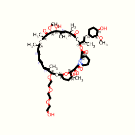 CO[C@@H]1C[C@H](C[C@@H](C)[C@@H]2CC(=O)[C@H](C)/C=C(\C)[C@@H](O)[C@@H](OC)C(=O)[C@H](C)C[C@H](C)/C=C/C=C/C=C(\C)[C@H](OCCOCCOCCO)C[C@@H]3CC[C@@H](C)[C@@](O)(O3)C(=O)C(=O)N3CCCC[C@H]3C(=O)O2)CC[C@H]1O